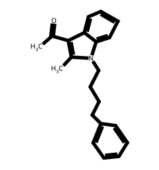 CC(=O)c1c(C)n(CCCCc2ccccc2)c2ccccc12